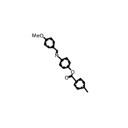 COc1ccc(C=Nc2ccc(OC(=O)c3ccc(C)cc3)cc2)cc1